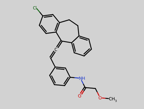 COCC(=O)Nc1cccc(C=C=C2c3ccccc3CCc3cc(Cl)ccc32)c1